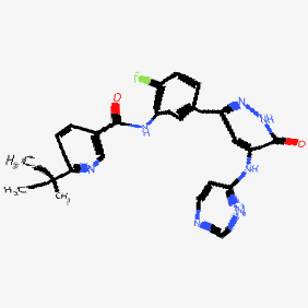 CC(C)(C)c1ccc(C(=O)Nc2cc(-c3cc(Nc4ccncn4)c(=O)[nH]n3)ccc2F)cn1